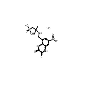 CC(C)(CP(=O)(O)O)NCc1cc([N+](=O)[O-])cc2[nH]c(=O)c(=O)[nH]c12.Cl